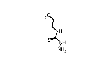 CCCNC(=S)NN